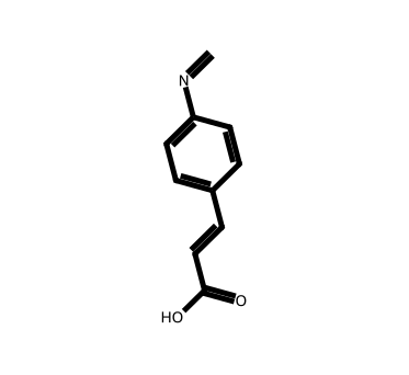 C=Nc1ccc(/C=C/C(=O)O)cc1